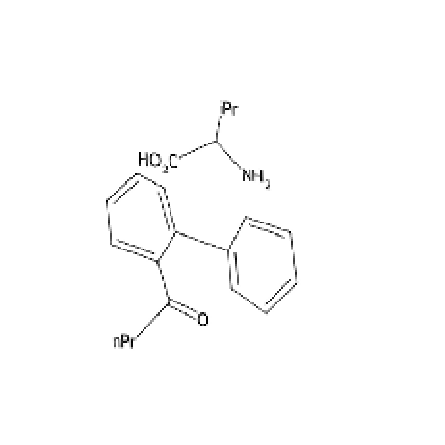 CC(C)C(N)C(=O)O.CCCC(=O)c1ccccc1-c1ccccc1